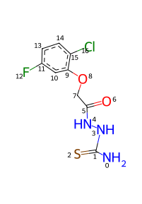 NC(=S)NNC(=O)COc1cc(F)ccc1Cl